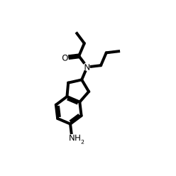 CCCN(C(=O)CC)C1Cc2ccc(N)cc2C1